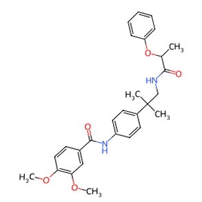 COc1ccc(C(=O)Nc2ccc(C(C)(C)CNC(=O)C(C)Oc3ccccc3)cc2)cc1OC